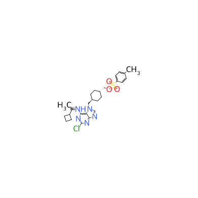 Cc1ccc(S(=O)(=O)OC[C@H]2CC[C@H](Cn3cnc4nc(Cl)nc(N[C@H](C)C5CCC5)c43)CC2)cc1